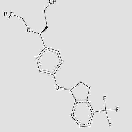 CCO[C@@H](CCO)c1ccc(O[C@@H]2CCc3c2cccc3C(F)(F)F)cc1